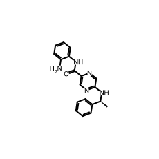 C[C@H](Nc1cnc(C(=O)Nc2ccccc2N)cn1)c1ccccc1